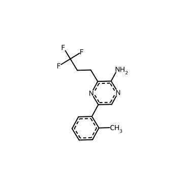 Cc1ccccc1-c1cnc(N)c(CCC(F)(F)F)n1